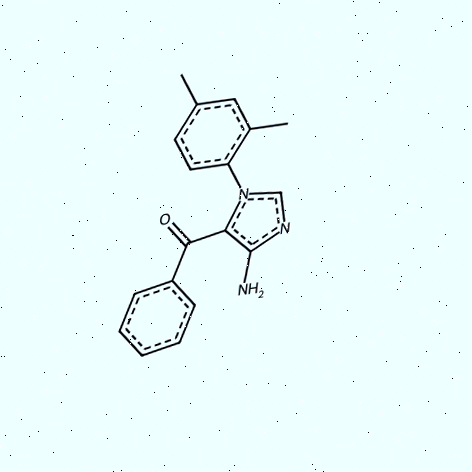 Cc1ccc(-n2cnc(N)c2C(=O)c2ccccc2)c(C)c1